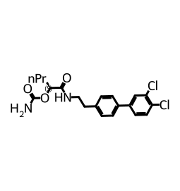 CCC[C@H](OC(N)=O)C(=O)NCCc1ccc(-c2ccc(Cl)c(Cl)c2)cc1